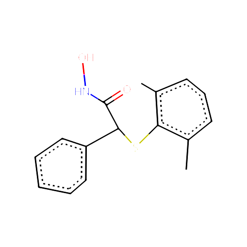 Cc1cccc(C)c1SC(C(=O)NO)c1ccccc1